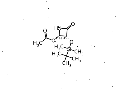 CC(=O)O[C@H]1NC(=O)[C@@H]1O[Si](C)(C)C(C)(C)C